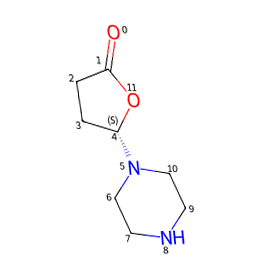 O=C1CC[C@@H](N2CCNCC2)O1